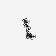 O=C1CCC(N2C(=O)c3cccc(NCCOCCC(=O)N4CCN(C(=O)c5cc(Cc6n[nH]c(=O)c7ccccc67)ccc5F)CC4)c3C2=O)C(=O)N1